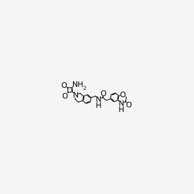 Nc1c(N2CCc3ccc(CNC(=O)Cc4ccc5c(c4)NC(=O)CO5)cc3C2)c(=O)c1=O